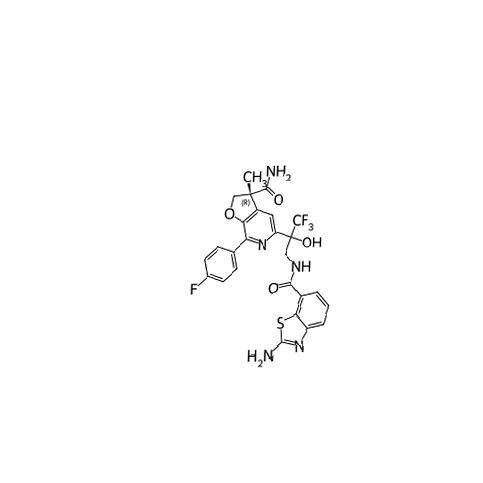 C[C@]1(C(N)=O)COc2c1cc(C(O)(CNC(=O)c1cccc3nc(N)sc13)C(F)(F)F)nc2-c1ccc(F)cc1